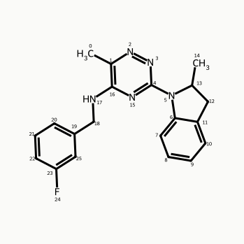 Cc1nnc(N2c3ccccc3CC2C)nc1NCc1cccc(F)c1